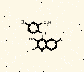 Cc1nc2ccc(Cl)cc2c(Nc2ccc(Cl)cc2C(=O)O)c1S